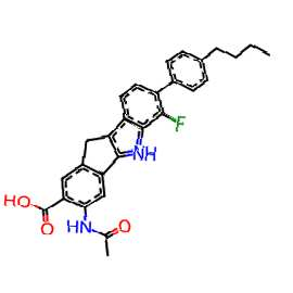 CCCCc1ccc(-c2ccc3c4c([nH]c3c2F)-c2cc(NC(C)=O)c(C(=O)O)cc2C4)cc1